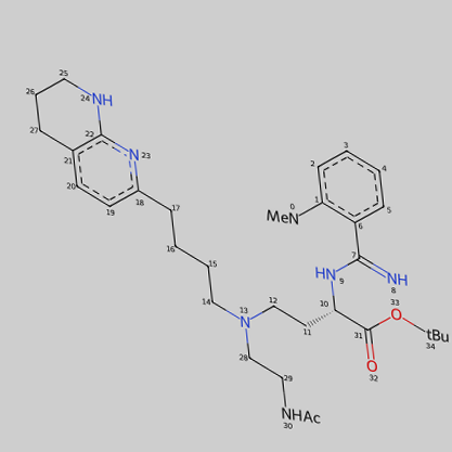 CNc1ccccc1C(=N)N[C@@H](CCN(CCCCc1ccc2c(n1)NCCC2)CCNC(C)=O)C(=O)OC(C)(C)C